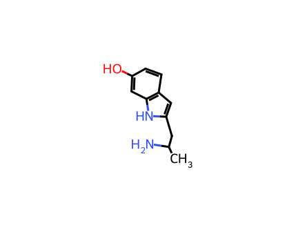 CC(N)Cc1cc2ccc(O)cc2[nH]1